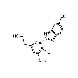 CCc1ccc2nn(-c3cc(CCO)cc(C)c3O)nc2c1